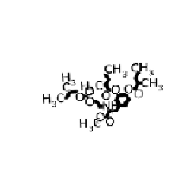 CCCC(C)C(=O)Oc1ccc(C[C@H](NCCOC(=O)OCC(C)CC)C(=O)OC)cc1OC(=O)C(C)CCC